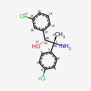 C[C@@](N)(c1ccc(Cl)cc1)[C@H](O)c1cccc(Cl)c1